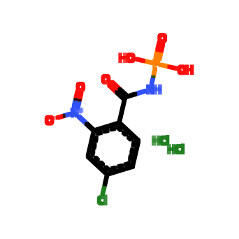 Cl.Cl.O=C(NP(=O)(O)O)c1ccc(Cl)cc1[N+](=O)[O-]